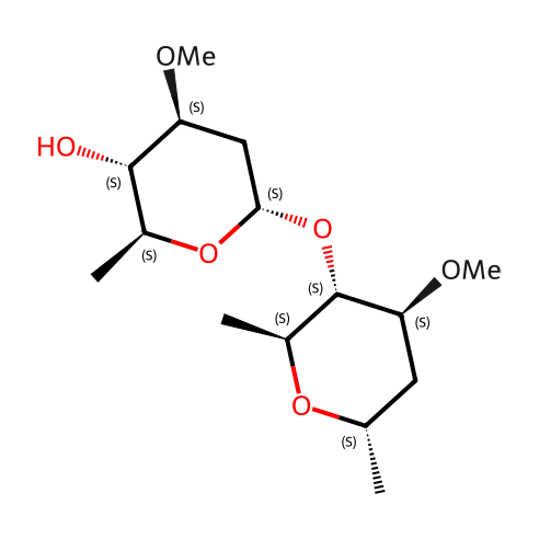 CO[C@H]1C[C@H](O[C@H]2[C@H](C)O[C@@H](C)C[C@@H]2OC)O[C@@H](C)[C@@H]1O